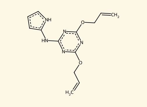 C=CCOc1nc(Nc2ccc[nH]2)nc(OCC=C)n1